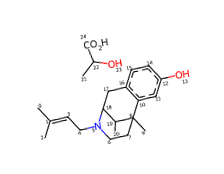 CC(C)=CCN1CCC2(C)c3cc(O)ccc3CC1C2C.CC(O)C(=O)O